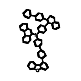 c1ccc(-c2ccc(-c3ccc4ccccc4c3-c3ccc(N(c4ccc(-c5ccc(-c6cccc7oc8ccccc8c67)cc5)cc4)c4cc5ccccc5c5ccccc45)cc3)cc2)cc1